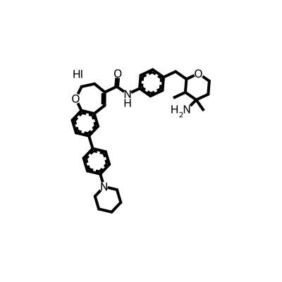 CC1C(Cc2ccc(NC(=O)C3=Cc4cc(-c5ccc(N6CCCCC6)cc5)ccc4OCC3)cc2)OCCC1(C)N.I